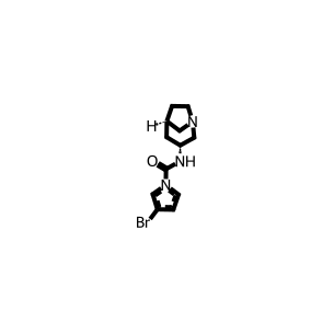 O=C(N[C@@H]1C[C@H]2CCN(C2)C1)n1ccc(Br)c1